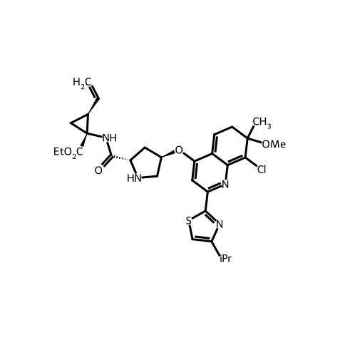 C=C[C@@H]1C[C@]1(NC(=O)[C@@H]1C[C@@H](Oc2cc(-c3nc(C(C)C)cs3)nc3c2=CCC(C)(OC)C=3Cl)CN1)C(=O)OCC